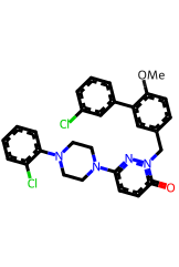 COc1ccc(Cn2nc(N3CCN(c4ccccc4Cl)CC3)ccc2=O)cc1-c1cccc(Cl)c1